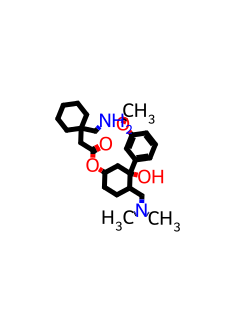 COc1cccc(C2(O)CC(OC(=O)CC3(CN)CCCCC3)CCC2CN(C)C)c1